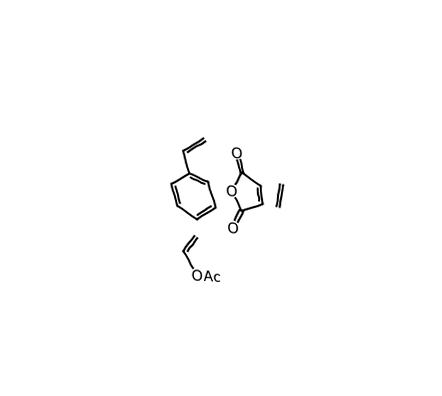 C=C.C=COC(C)=O.C=Cc1ccccc1.O=C1C=CC(=O)O1